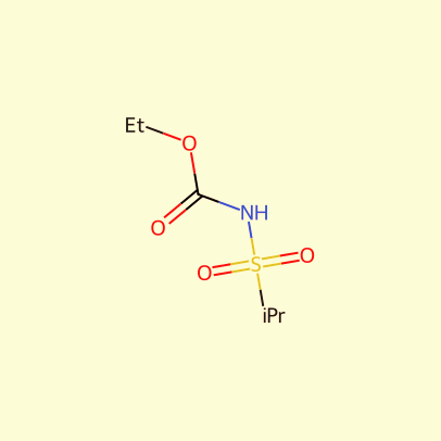 CCOC(=O)NS(=O)(=O)C(C)C